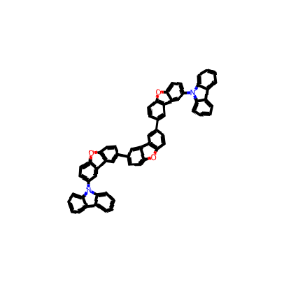 c1ccc2c(c1)c1ccccc1n2-c1ccc2oc3ccc(-c4ccc5oc6ccc(-c7ccc8oc9ccc(-n%10c%11ccccc%11c%11ccccc%11%10)cc9c8c7)cc6c5c4)cc3c2c1